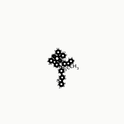 CC1(C)c2ccccc2-c2ccc(N(c3ccc(-c4ccc5c(c4)sc4ccccc45)cc3)c3ccc4c(c3)C3(c5ccccc5-4)c4ccccc4C(c4ccccc4)(c4ccccc4)c4ccccc43)cc21